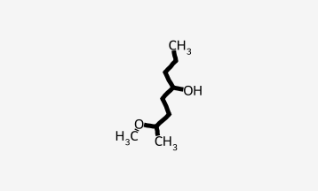 CCCC(O)CCC(C)OC